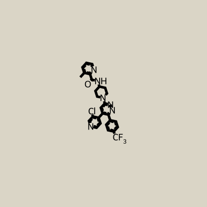 Cc1cccnc1C(=O)NC1CCN(c2cc(-c3ccncc3Cl)c(-c3ccc(C(F)(F)F)cc3)nn2)CC1